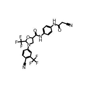 N#CCC(=O)Nc1ccc(NC(=O)C2CN(c3ccc(C#N)c(C(F)(F)F)c3)C(C(F)(F)F)O2)cc1